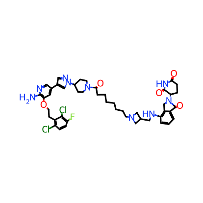 Nc1ncc(-c2cnn(C3CCN(C(=O)CCCCCCCN4CC(CNc5cccc6c5CN([C@H]5CCC(=O)NC5=O)C6=O)C4)CC3)c2)cc1OCCc1c(Cl)ccc(F)c1Cl